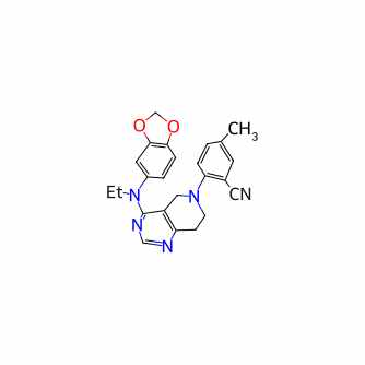 CCN(c1ccc2c(c1)OCO2)c1ncnc2c1CN(c1ccc(C)cc1C#N)CC2